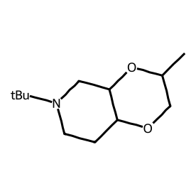 CC1COC2CCN(C(C)(C)C)CC2O1